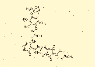 Cc1c(C)c2c(c(C)c1OCC(O)CNc1cc[nH]c(=O)c1-c1nc3cc4c(cc3[nH]1)C(=O)N(C1CCN(C)CC1)C4=O)CCC(C)(C)O2